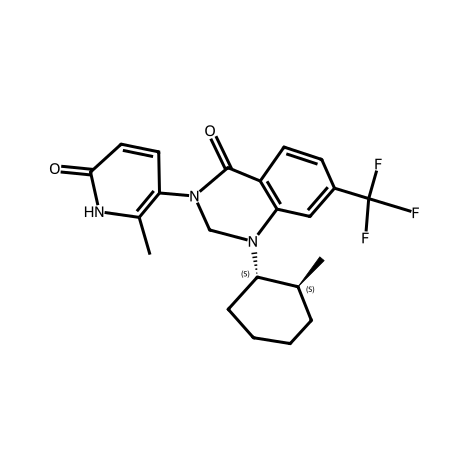 Cc1[nH]c(=O)ccc1N1CN([C@H]2CCCC[C@@H]2C)c2cc(C(F)(F)F)ccc2C1=O